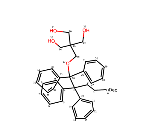 CCCCCCCCCCCCC(c1ccccc1)(c1ccccc1)C(OCC(CO)(CO)CO)(c1ccccc1)c1ccccc1